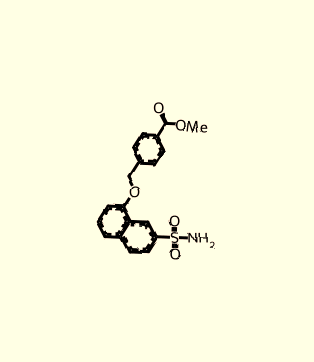 COC(=O)c1ccc(COc2cccc3ccc(S(N)(=O)=O)cc23)cc1